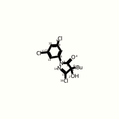 CCC(C)C1(O)C(=O)N(c2cc(Cl)cc(Cl)c2)N=C1Cl